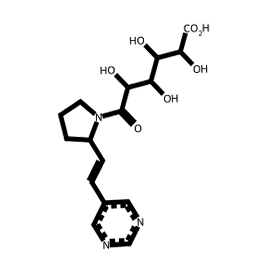 O=C(O)C(O)C(O)C(O)C(O)C(=O)N1CCCC1/C=C/c1cncnc1